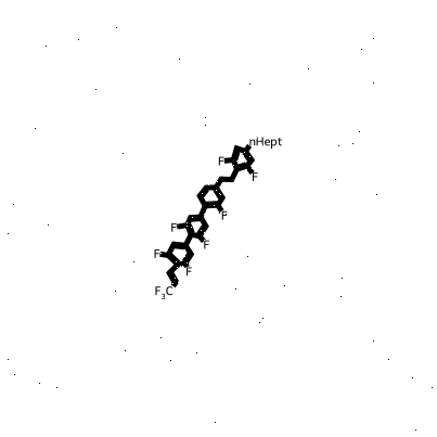 CCCCCCCc1cc(F)c(CCc2ccc(-c3cc(F)c(-c4cc(F)c(/C=C/C(F)(F)F)c(F)c4)c(F)c3)c(F)c2)c(F)c1